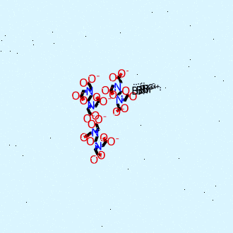 O=C([O-])CN(CCN(CC(=O)[O-])CC(=O)[O-])CC(=O)[O-].O=C([O-])CN(CCN(CC(=O)[O-])CC(=O)[O-])CC(=O)[O-].O=C([O-])CN(CCN(CC(=O)[O-])CC(=O)[O-])CC(=O)[O-].[Bi+3].[Bi+3].[Bi+3].[Bi+3]